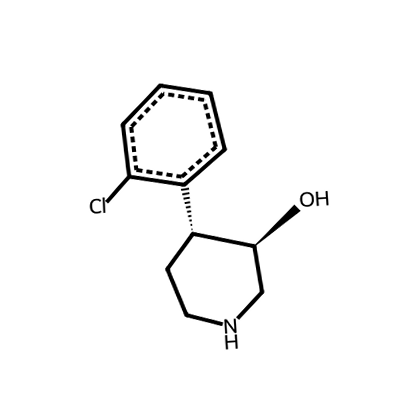 O[C@H]1CNCC[C@@H]1c1ccccc1Cl